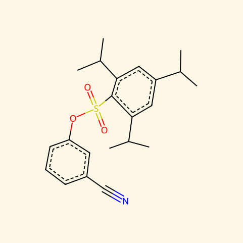 CC(C)c1cc(C(C)C)c(S(=O)(=O)Oc2cccc(C#N)c2)c(C(C)C)c1